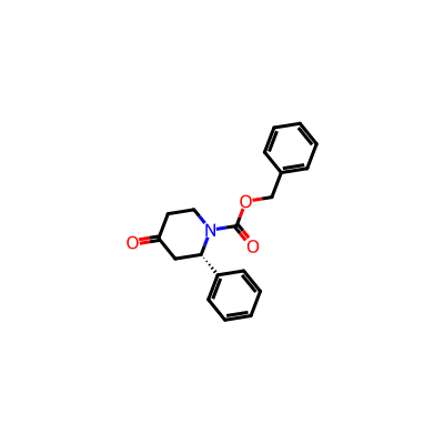 O=C1CCN(C(=O)OCc2ccccc2)[C@H](c2ccccc2)C1